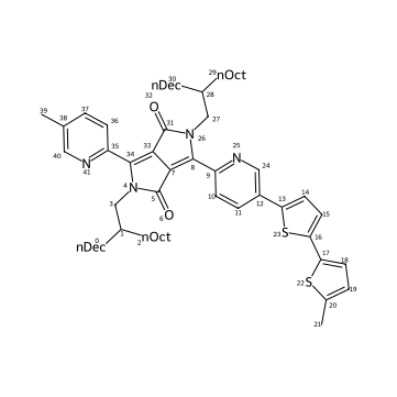 CCCCCCCCCCC(CCCCCCCC)CN1C(=O)C2=C(c3ccc(-c4ccc(-c5ccc(C)s5)s4)cn3)N(CC(CCCCCCCC)CCCCCCCCCC)C(=O)C2=C1c1ccc(C)cn1